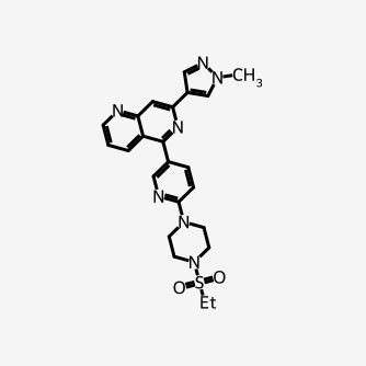 CCS(=O)(=O)N1CCN(c2ccc(-c3nc(-c4cnn(C)c4)cc4ncccc34)cn2)CC1